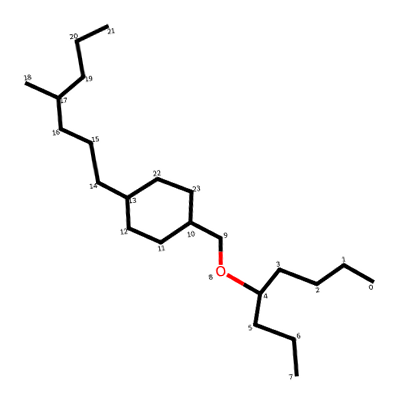 CCCCC(CCC)OCC1CCC(CCCC(C)CCC)CC1